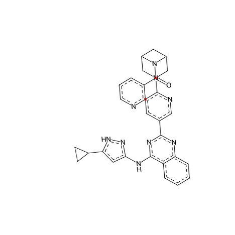 O=C(c1cccnc1)N1C2CC1CN(c1ccc(-c3nc(Nc4cc(C5CC5)[nH]n4)c4ccccc4n3)cn1)C2